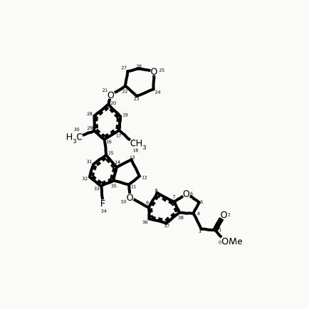 COC(=O)CC1COc2cc(OC3CCc4c(-c5c(C)cc(OC6CCOCC6)cc5C)ccc(F)c43)ccc21